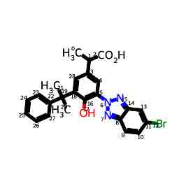 CC(C(=O)O)c1cc(-n2nc3ccc(Br)cc3n2)c(O)c(C(C)(C)c2ccccc2)c1